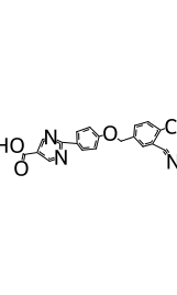 N#Cc1cc(COc2ccc(-c3ncc(C(=O)O)cn3)cc2)ccc1Cl